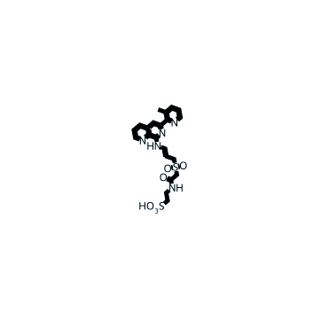 Cc1cccnc1-c1cc2cccnc2c(NC=CCS(=O)(=O)CC(=O)NCCS(=O)(=O)O)n1